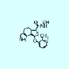 Cc1ncccc1Oc1sc(C(=O)NO)c2c1-c1sncc1CC2